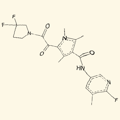 Cc1cc(NC(=O)c2c(C)c(C(=O)C(=O)N3CCC(F)(F)C3)n(C)c2C)cnc1F